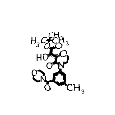 Cc1cc(C(=O)N2CCOCC2)cc(N2CCO[C@H]([C@@H](O)C(=O)OC(C)(C)C)C2=O)c1